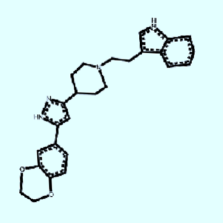 c1ccc2c(CCN3CCC(c4cc(-c5ccc6c(c5)OCCO6)[nH]n4)CC3)c[nH]c2c1